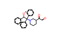 COC(c1ccccc1)C(c1ccccc1)(c1ccccc1)N1CCCC(C(=O)C=O)C1